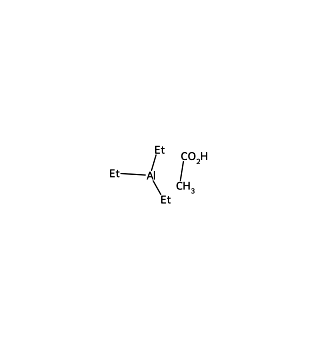 CC(=O)O.C[CH2][Al]([CH2]C)[CH2]C